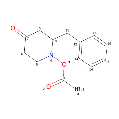 CC(C)(C)C(=O)ON1CCC(=O)CC1Cc1ccccc1